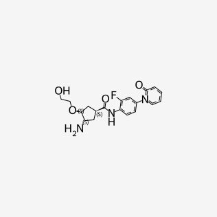 N[C@H]1C[C@H](C(=O)Nc2ccc(-n3ccccc3=O)cc2F)C[C@@H]1OCCO